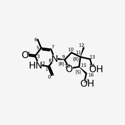 C=C1NC(=O)C(C)=CN1[C@H]1C[C@](C)(CO)[C@@H](CO)O1